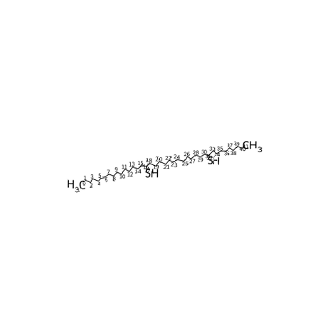 CCCCCCCCCCCCCCCCC(S)CCCCCCCCCCCCCC(S)CCCCCCCCC